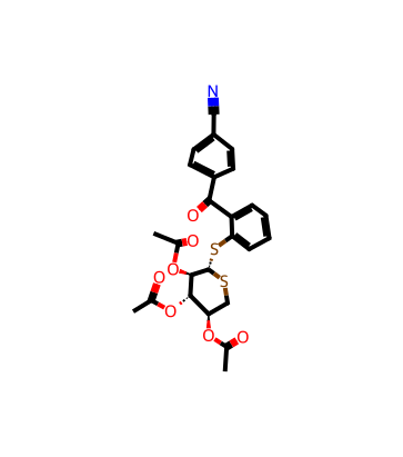 CC(=O)O[C@@H]1[C@@H](OC(C)=O)[C@H](Sc2ccccc2C(=O)c2ccc(C#N)cc2)SC[C@H]1OC(C)=O